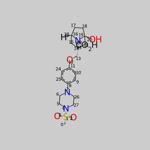 CS(=O)(=O)N1CCN(c2ccc(OC[C@@H]3C[C@@H]4CC[C@](O)(C3)N4C(=O)O)cc2)CC1